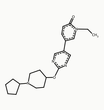 CCn1cc(-c2cnc(OC3CCN(C4CCCC4)CC3)nc2)ccc1=O